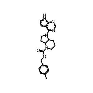 Cc1ccc(COC(=O)N2CCCC3C2CCN3c2ncnc3[nH]ccc23)cc1